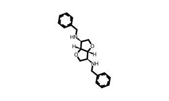 c1ccc(CN[C@H]2CO[C@H]3[C@@H]2OC[C@@H]3NCc2ccccc2)cc1